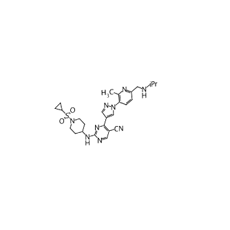 Cc1nc(CNC(C)C)ccc1-n1cc(-c2nc(NC3CCN(S(=O)(=O)C4CC4)CC3)ncc2C#N)cn1